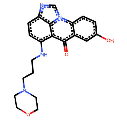 O=c1c2cc(O)ccc2n2cnc3ccc(NCCCN4CCOCC4)c1c32